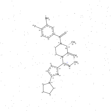 Bc1cc(C(=O)N2CCN(/C(=N\C)c3nc(N4CCCC4)cs3)C(=C)[C@H]2C)ccc1F